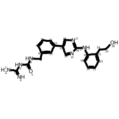 N=C(N)NC(=O)NCc1cccc(-c2cnc(Nc3ccccc3CCO)nc2)c1